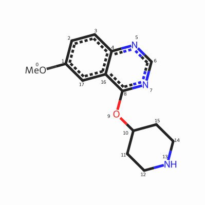 COc1ccc2ncnc(OC3CCNCC3)c2c1